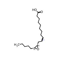 CCCCC[C@@H]1O[C@@H]1C/C=C\CCCCCCCC(=O)O